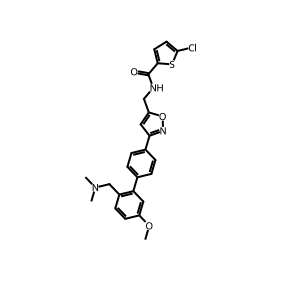 COc1ccc(CN(C)C)c(-c2ccc(-c3cc(CNC(=O)c4ccc(Cl)s4)on3)cc2)c1